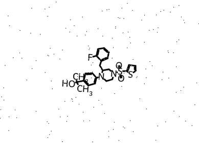 CC(C)(O)c1ccc(N2CCN(S(=O)(=O)c3cccs3)CC2Cc2ccccc2F)cc1